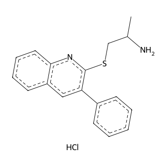 CC(N)CSc1nc2ccccc2cc1-c1ccccc1.Cl